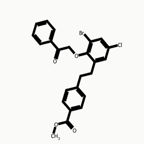 COC(=O)c1ccc(CCc2cc(Cl)cc(Br)c2OCC(=O)c2ccccc2)cc1